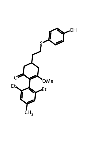 CCc1cc(C)cc(CC)c1C1=C(OC)CC(CCSc2ccc(O)cc2)CC1=O